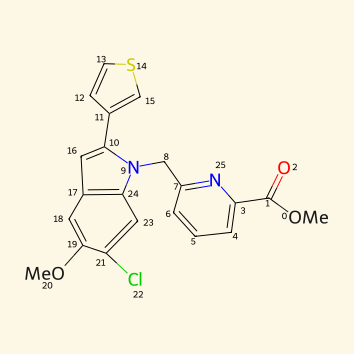 COC(=O)c1cccc(Cn2c(-c3ccsc3)cc3cc(OC)c(Cl)cc32)n1